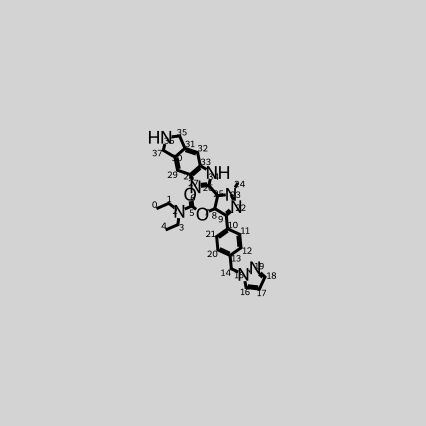 CCN(CC)C(=O)OC1C(c2ccc(Cn3cccn3)cc2)=NN(C)C1c1nc2cc3c(cc2[nH]1)CNC3